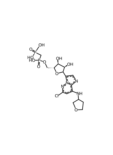 O=P(O)(O)CP(=O)(O)OC[C@H]1OC(c2cnc3c(NC4CCOC4)cc(Cl)nn23)[C@H](O)[C@@H]1O